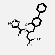 O=C(NC(Cc1ccc(-c2ccccc2)cc1Cl)CC(O)C(=O)O)c1c[nH]nn1